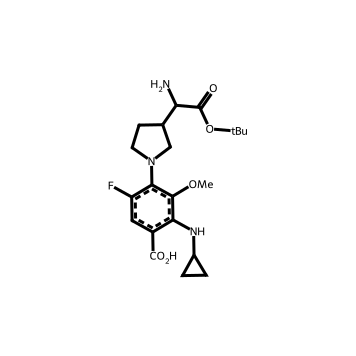 COc1c(NC2CC2)c(C(=O)O)cc(F)c1N1CCC(C(N)C(=O)OC(C)(C)C)C1